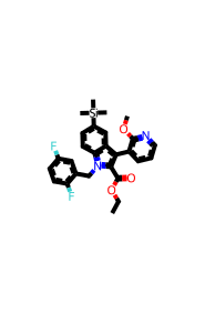 CCOC(=O)c1c(-c2cccnc2OC)c2cc([Si](C)(C)C)ccc2n1Cc1cc(F)ccc1F